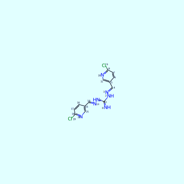 N=C(N/N=C/c1ccc(Cl)nc1)N/N=C/c1ccc(Cl)nc1